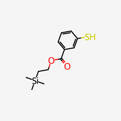 C[Si](C)(C)CCOC(=O)c1cccc(S)c1